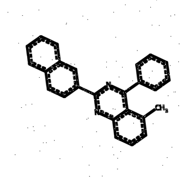 Cc1cccc2nc(-c3ccc4ccccc4c3)nc(-c3ccccc3)c12